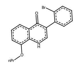 CCCOc1cccc2c(=O)c(-c3ccccc3Br)c[nH]c12